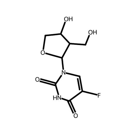 O=c1[nH]c(=O)n(C2OCC(O)C2CO)cc1F